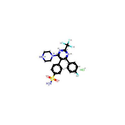 Cl.NS(=O)(=O)c1ccc(-c2c(-c3ccc(F)cc3)nc(C(F)(F)F)nc2N2CCNCC2)cc1